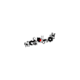 O=C(COc1ccc2c(c1)OC(F)(F)O2)N[C@H]1CC2(NC(=O)C3CCC(OC(F)(F)F)CN3)CC1C2